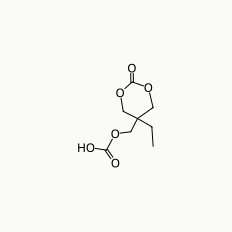 CCC1(COC(=O)O)COC(=O)OC1